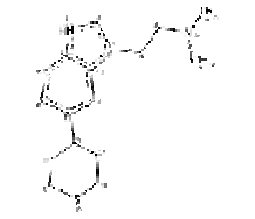 CN(C)CCc1c[nH]c2ccc(C3CCSCC3)cc12